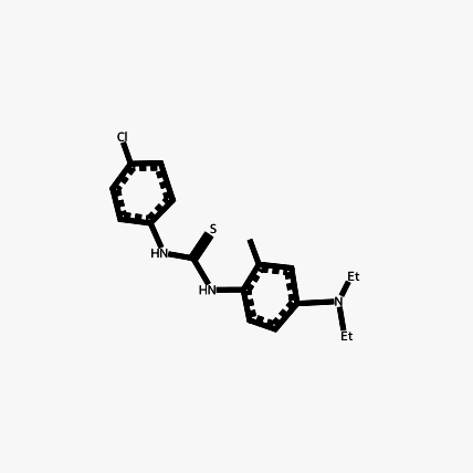 CCN(CC)c1ccc(NC(=S)Nc2ccc(Cl)cc2)c(C)c1